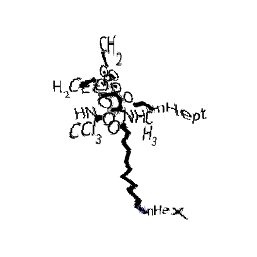 C=CCOP(=O)(OCC=C)O[C@H]1[C@H](OCC[C@H](C)CCCCCCC)[C@@H](NC(=O)CCCCCCCCC/C=C\CCCCCC)[C@H](OC(=N)C(Cl)(Cl)Cl)O[C@@H]1CC